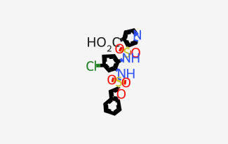 O=C(O)c1ccncc1S(=O)(=O)Nc1ccc(Cl)cc1NS(=O)(=O)c1cc2ccccc2o1